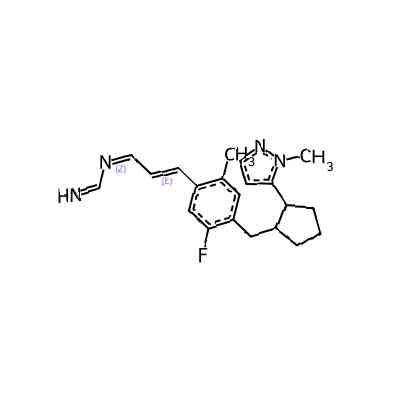 Cc1cc(CC2CCCC2c2ccnn2C)c(F)cc1/C=C/C=N\C=N